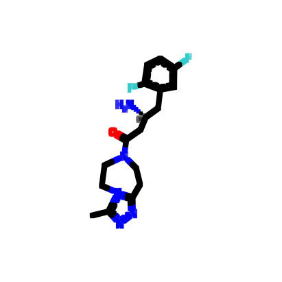 Cc1nnc2n1CCN(C(=O)C[C@H](N)Cc1cc(F)ccc1F)CC2